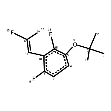 CC(C)(C)Oc1ccc(F)c(C=C(F)F)c1F